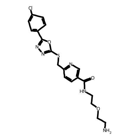 NCCOCCNC(=O)c1ccc(CSc2nnc(-c3ccc(Cl)cc3)o2)nc1